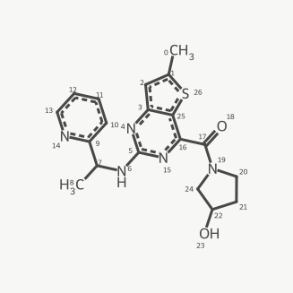 Cc1cc2nc(NC(C)c3ccccn3)nc(C(=O)N3CCC(O)C3)c2s1